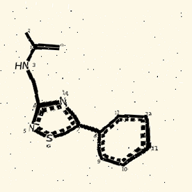 C=C(C)Nc1nsc(-c2ccccc2)n1